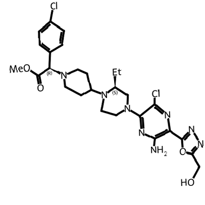 CC[C@H]1CN(c2nc(N)c(-c3nnc(CO)o3)nc2Cl)CCN1C1CCN([C@@H](C(=O)OC)c2ccc(Cl)cc2)CC1